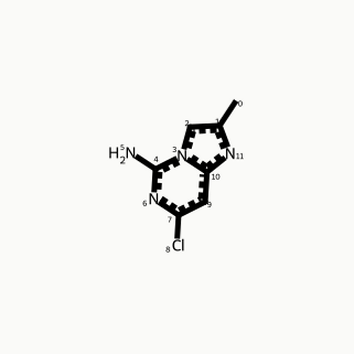 Cc1cn2c(N)nc(Cl)cc2n1